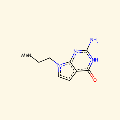 CNCCn1ccc2c(=O)[nH]c(N)nc21